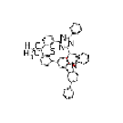 CC1(C)c2cccc(-c3ccc4c(c3)c3cc(-c5ccccc5)ccc3n4-c3ccccc3)c2Sc2c(-c3nc(-c4ccccc4)nc(-c4ccccc4)n3)cccc21